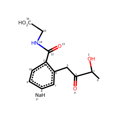 CC(O)C(=O)Cc1ccccc1C(=O)NCC(=O)O.[NaH]